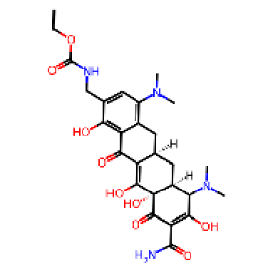 CCOC(=O)NCc1cc(N(C)C)c2c(c1O)C(=O)C1=C(O)[C@]3(O)C(=O)C(C(N)=O)=C(O)C(N(C)C)[C@@H]3C[C@@H]1C2